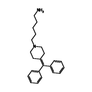 NCCCCCN1CCC(=C(c2ccccc2)c2ccccc2)CC1